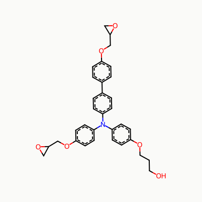 OCCCOc1ccc(N(c2ccc(OCC3CO3)cc2)c2ccc(-c3ccc(OCC4CO4)cc3)cc2)cc1